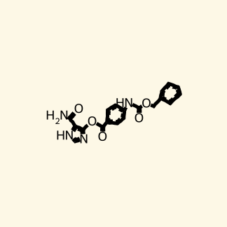 NC(=O)c1[nH]cnc1OC(=O)c1ccc(NC(=O)OCc2ccccc2)cc1